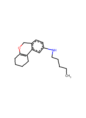 CCCCCNc1ccc2c(c1)C1=C(CCCC1)OC2